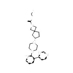 CCOC(=O)N1CC2(CC[C@@H](N3CCN(c4ncccc4-c4ccncn4)CC3)C2)C1